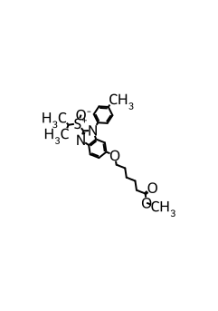 COC(=O)CCCCCOc1ccc2nc([S+]([O-])C(C)C)n(-c3ccc(C)cc3)c2c1